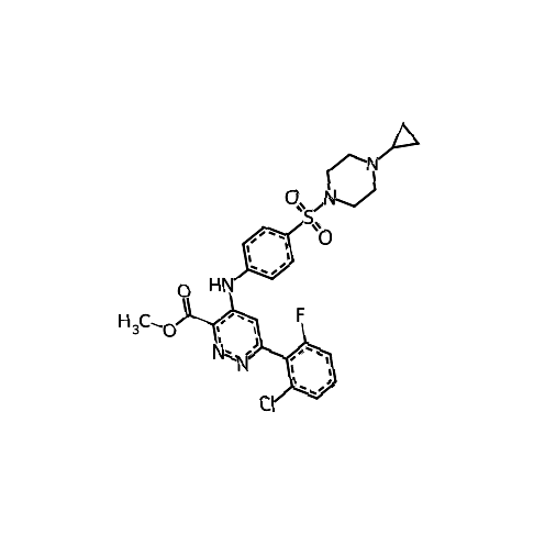 COC(=O)c1nnc(-c2c(F)cccc2Cl)cc1Nc1ccc(S(=O)(=O)N2CCN(C3CC3)CC2)cc1